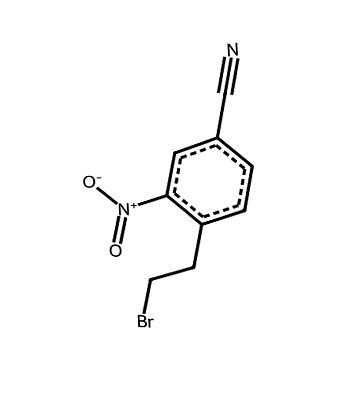 N#Cc1ccc(CCBr)c([N+](=O)[O-])c1